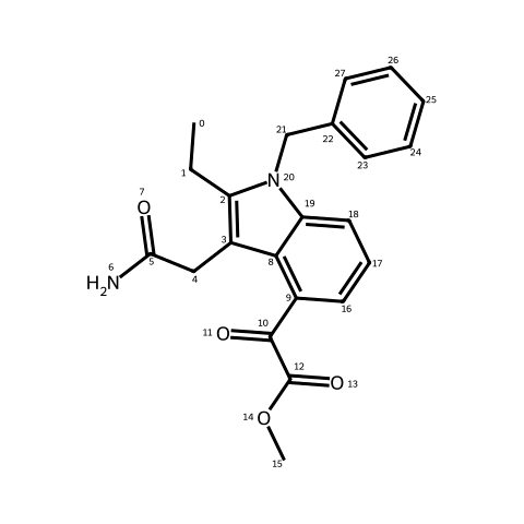 CCc1c(CC(N)=O)c2c(C(=O)C(=O)OC)cccc2n1Cc1ccccc1